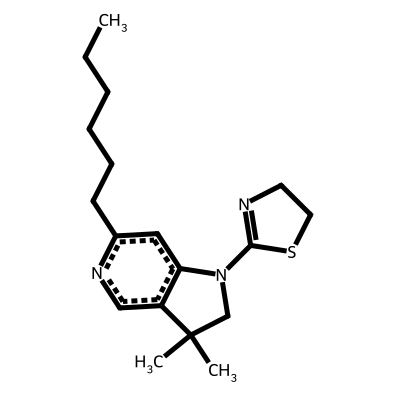 CCCCCCc1cc2c(cn1)C(C)(C)CN2C1=NCCS1